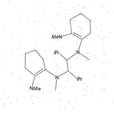 CNC1=C(N(C)C(C(C)C)C(C(C)C)N(C)C2=C(NC)CCCC2)CCCC1